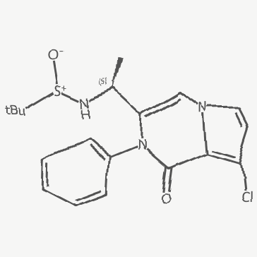 C[C@H](N[S+]([O-])C(C)(C)C)c1cn2ccc(Cl)c2c(=O)n1-c1ccccc1